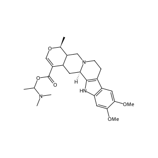 COc1cc2[nH]c3c(c2cc1OC)CCN1CC2C(C[C@H]31)C(C(=O)OC(C)N(C)C)=CO[C@H]2C